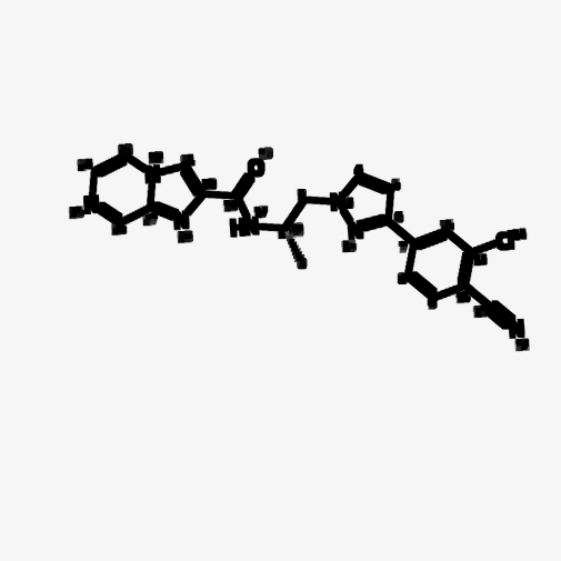 C[C@@H](Cn1ccc(-c2ccc(C#N)c(Cl)c2)n1)NC(=O)c1cn2ccncc2n1